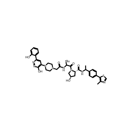 Cc1ncsc1-c1ccc(C(C)NC(=O)[C@@H]2C[C@@H](O)CN2C(=O)C(NC(=O)CN2CCN(c3cc(-c4ccccc4O)nnc3O)CC2)C(C)(C)C)cc1